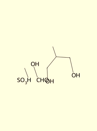 CC(CO)CO.CS(=O)(=O)O.O=CO